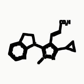 Cn1nc(C2CC2)c(/C=C/C(=O)O)c1N1CCc2cccnc21